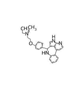 CCN(CC)CCOc1ccc(C2Nc3ccccc3-c3ccnc4[nH]cc2c34)cc1